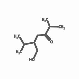 CC(C)C(=O)CC(CO)C(C)C